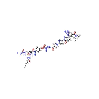 CCCCCC(=O)NCC(=O)N[C@@H](CCCNC(N)=O)C(=O)Nc1ccc(COC(=O)NCCNC(=O)C2CCN(c3ccc(NC(=O)c4ccc5c(c4)N=C(N)CC(C(=O)N(CCC)CCC)=C5)cn3)CC2)cc1